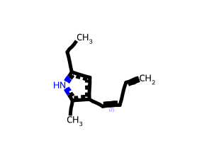 C=C/C=C\c1cc(CC)[nH]c1C